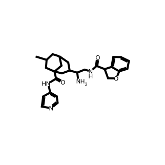 CC1CC2CC(C(N)CNC(=O)C3COc4ccccc43)CC(C(=O)Nc3ccncc3)(C1)C2